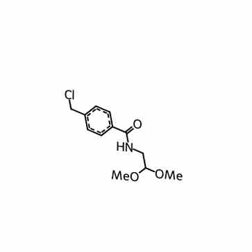 COC(CNC(=O)c1ccc(CCl)cc1)OC